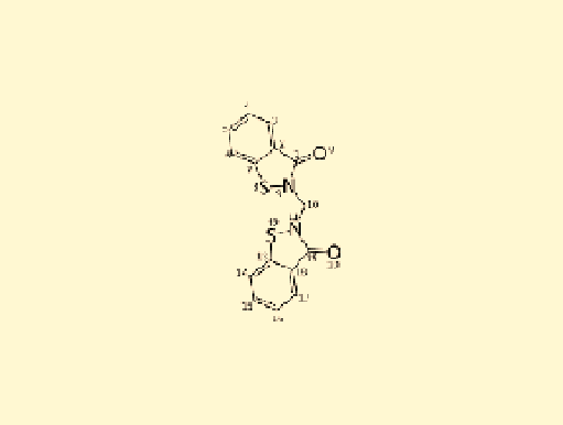 O=c1c2ccccc2sn1Cn1sc2ccccc2c1=O